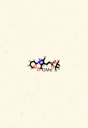 COC(=O)c1c(C=CB2OC(C)(C)C(C)(C)O2)c(C)nn1C1CCCCO1